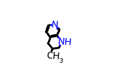 CC1CNc2cnccc2C1